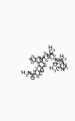 Cc1ncnc(C)c1C(=O)NCC[C@@H](C)N1CCC(N(Cc2ccsc2)c2ccc(Oc3ccc(C(N)=O)cc3)cc2)CC1